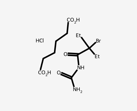 CCC(Br)(CC)C(=O)NC(N)=O.Cl.O=C(O)CCCCC(=O)O